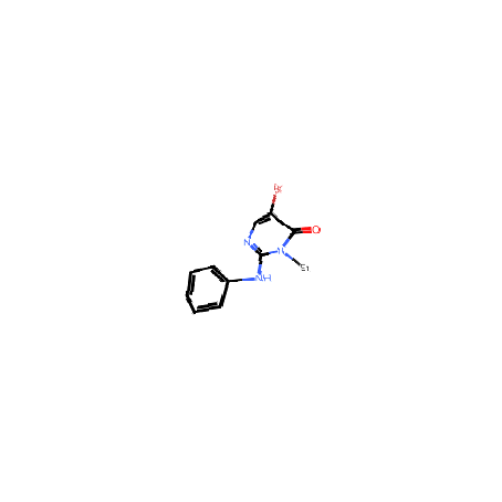 CCn1c(Nc2ccccc2)ncc(Br)c1=O